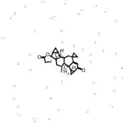 C[C@@]12C(=CC(=O)C3C[C@@H]31)C1(CC1)CC1C2[C@@H](F)C[C@@]2(C)C1[C@@H]1CC1[C@@]21CCC(=O)O1